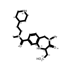 CC(C)N1Cc2ccc(C(=O)N(C)CCC3CCNCC3)cc2NC(CC(=O)O)C1=O